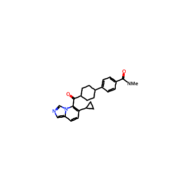 CNC(=O)c1ccc(C2CCC(C(=O)c3c(C4CC4)ccc4cncn34)CC2)cc1